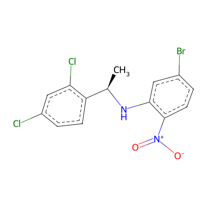 C[C@@H](Nc1cc(Br)ccc1[N+](=O)[O-])c1ccc(Cl)cc1Cl